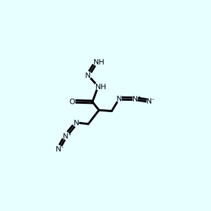 [N-]=[N+]=NCC(CN=[N+]=[N-])C(=O)NN=N